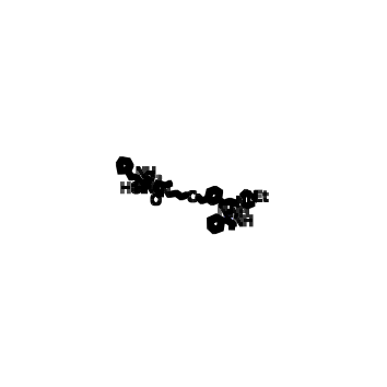 CCN1CCN(C2=CC(c3cccc(CCCCCCCN4C(=O)C(NC(=O)C(O)C(N)Cc5ccccc5)CC4C)c3)=N/C(=C(/C(C)=N)c3ccccc3)N2)CC1